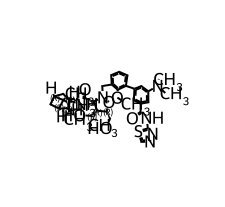 COc1c(CN2O[C@@H](CO)[C@@H]([C@H](C)O)[C@H]2C(=O)N[C@H]2C[C@H]3C[C@@H]([C@@H]2C)C3(C)C)cccc1-c1cc(C(=O)Nc2nncs2)cc(N(C)C)c1